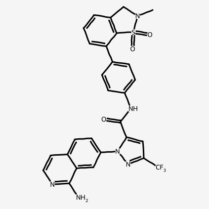 CN1Cc2cccc(-c3ccc(NC(=O)c4cc(C(F)(F)F)nn4-c4ccc5ccnc(N)c5c4)cc3)c2S1(=O)=O